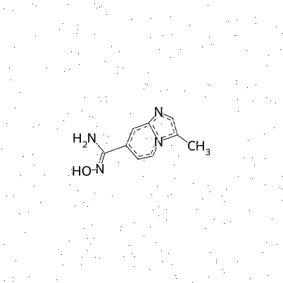 Cc1cnc2cc(C(N)=NO)ccn12